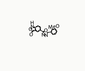 COc1ccccc1-c1nnc(-c2ccc3[nH]oc(=O)c3c2)o1